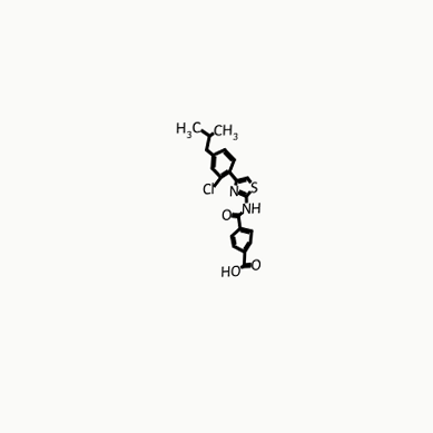 CC(C)Cc1ccc(-c2csc(NC(=O)c3ccc(C(=O)O)cc3)n2)c(Cl)c1